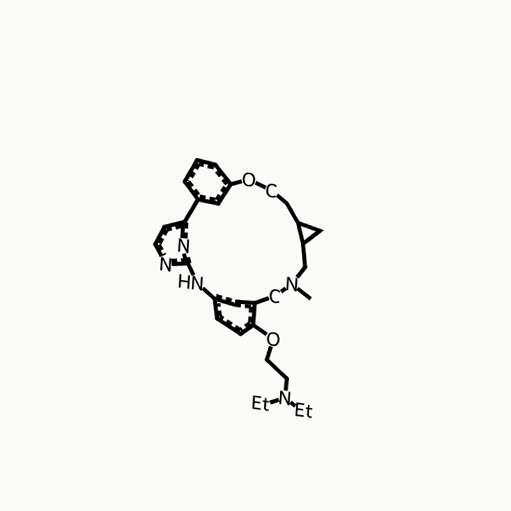 CCN(CC)CCOc1ccc2cc1CN(C)CC1CC1CCOc1cccc(c1)-c1ccnc(n1)N2